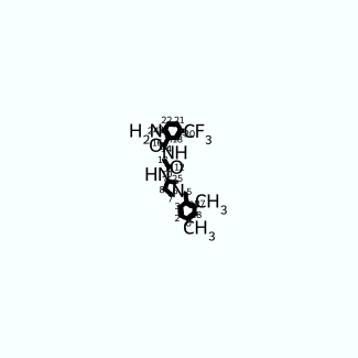 Cc1ccc(CN2CC[C@@H](NC(=O)CNC(=O)c3cc(C(F)(F)F)ccc3N)C2)c(C)c1